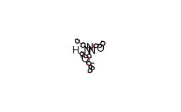 N/C(=N\C(=N/Cc1ccc(-c2ccccc2)cc1)c1ccc2c(c1)oc1ccccc12)c1ccc(-c2ccc3c(c2)sc2ccccc23)c2oc3ccccc3c12